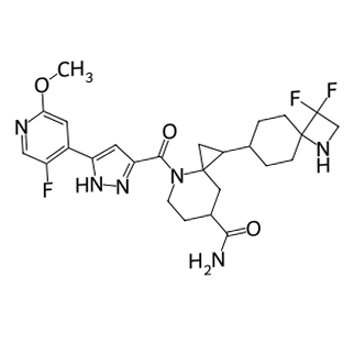 COc1cc(-c2cc(C(=O)N3CCC(C(N)=O)CC34CC4C3CCC4(CC3)NCC4(F)F)n[nH]2)c(F)cn1